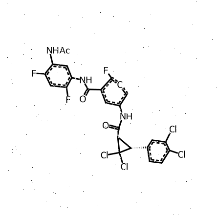 CC(=O)Nc1cc(NC(=O)c2cc(NC(=O)[C@H]3[C@H](c4ccc(Cl)c(Cl)c4)C3(Cl)Cl)ccc2F)c(F)cc1F